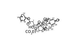 CCOC(=O)O[C@]1(C(=O)C(O)CC(=O)Oc2ccccc2)CC[C@H]2[C@@H]3CCC4=CC(=O)C=C[C@]4(C)[C@H]3C(O)C[C@@]21C